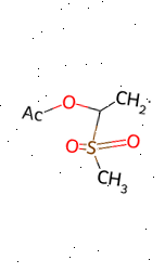 [CH2]C(OC(C)=O)S(C)(=O)=O